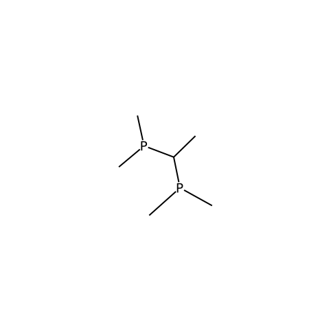 CC(P(C)C)P(C)C